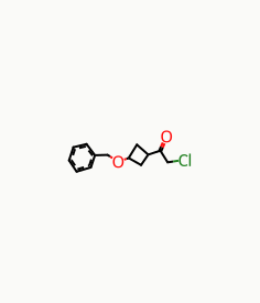 O=C(CCl)C1CC(OCc2ccccc2)C1